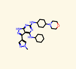 Cn1cc(-c2n[nH]c3nc(NC4CCC(N5CCOCC5)CC4)nc(NC4CCCCC4)c23)cn1